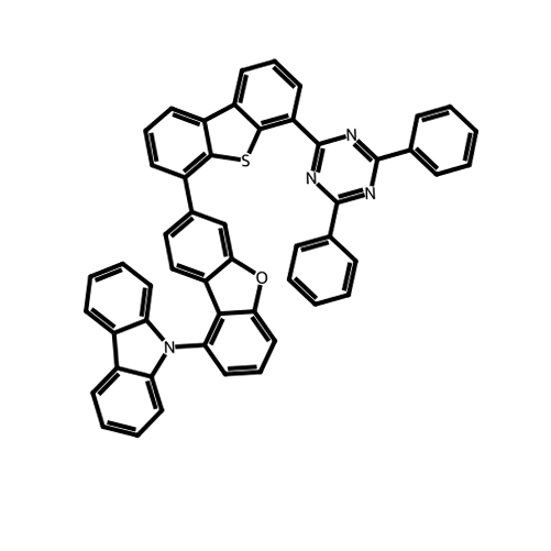 c1ccc(-c2nc(-c3ccccc3)nc(-c3cccc4c3sc3c(-c5ccc6c(c5)oc5cccc(-n7c8ccccc8c8ccccc87)c56)cccc34)n2)cc1